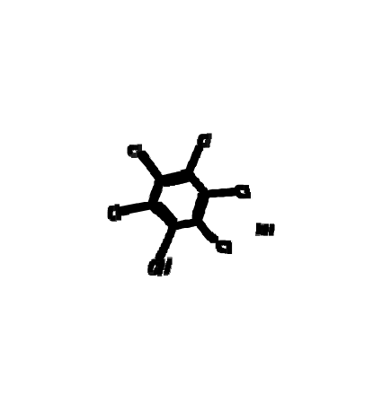 Oc1c(Cl)c(Cl)c(Cl)c(Cl)c1Cl.[KH]